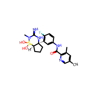 Cc1cc(C#N)cnc1C(=O)Nc1ccc(F)c([C@]23CCC[C@H]2S(O)(O)N(C)C(=N)N3)c1